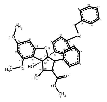 COC(=O)C1C(c2ccccc2)[C@]2(c3ccc(OCc4ccccc4)cc3)Oc3cc(OC)cc(OC)c3[C@]2(O)[C@@H]1O